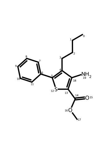 CCCCc1c(-c2ccccc2)sc(C(=O)OC)c1N